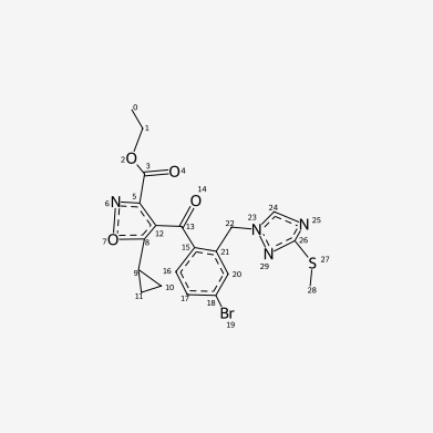 CCOC(=O)c1noc(C2CC2)c1C(=O)c1ccc(Br)cc1Cn1cnc(SC)n1